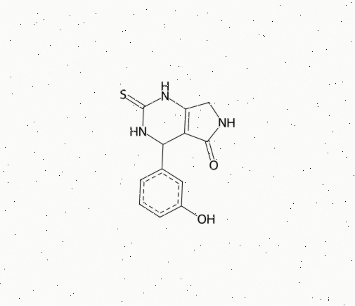 O=C1NCC2=C1C(c1cccc(O)c1)NC(=S)N2